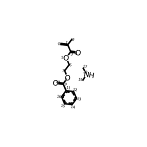 C=C(C)C(=O)OCCOC(=O)c1ccccc1.CNC